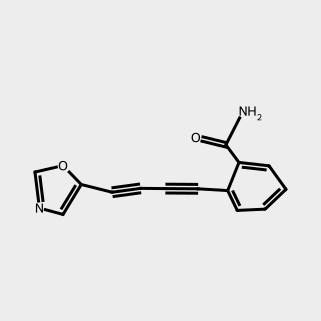 NC(=O)c1ccccc1C#CC#Cc1cnco1